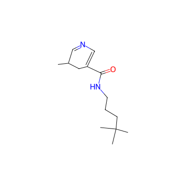 CC1C=NC=C(C(=O)NCCCC(C)(C)C)C1